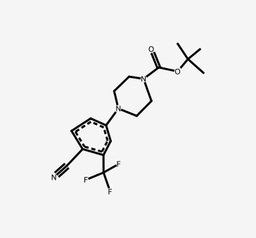 CC(C)(C)OC(=O)N1CCN(c2ccc(C#N)c(C(F)(F)F)c2)CC1